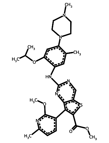 COC(=O)c1sc2cnc(Nc3cc(C)c(N4CCN(C)CC4)cc3OC(C)C)nc2c1-c1ccc(C)nc1OC